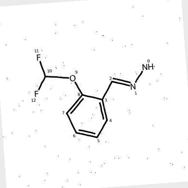 [NH]N=Cc1ccccc1OC(F)F